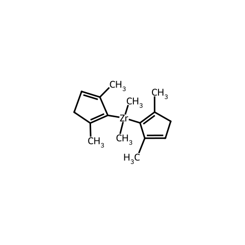 CC1=CCC(C)=[C]1[Zr]([CH3])([CH3])[C]1=C(C)CC=C1C